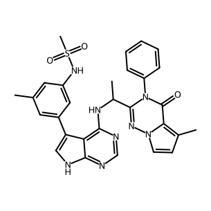 Cc1cc(NS(C)(=O)=O)cc(-c2c[nH]c3ncnc(NC(C)c4nn5ccc(C)c5c(=O)n4-c4ccccc4)c23)c1